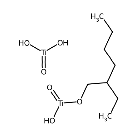 CCCCC(CC)C[O][Ti](=[O])[OH].[O]=[Ti]([OH])[OH]